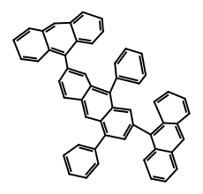 c1ccc(-c2cc(-c3c4ccccc4cc4ccccc34)cc3c(-c4ccccc4)c4cc(-c5c6ccccc6cc6ccccc56)ccc4cc23)cc1